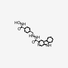 O=C(NO)c1ccc(CNNC(=O)c2cc3c(cn2)[nH]c2ccccc23)cc1